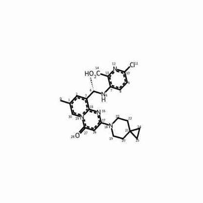 Cc1cc([C@H](C)Nc2ccc(Cl)nc2C(=O)O)c2nc(N3CCC4(CC3)CC4)cc(=O)n2c1